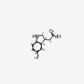 CCC(=O)CC1CNc2ccc(F)cc21